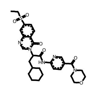 CCS(=O)(=O)c1ccc2c(=O)n(C(CC3CCCCC3)C(=O)Nc3ccc(C(=O)N4CCOCC4)cn3)cnc2c1